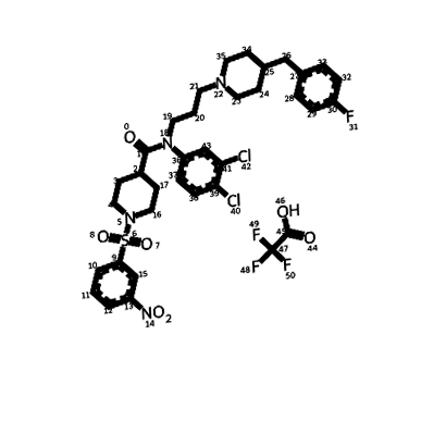 O=C(C1CCN(S(=O)(=O)c2cccc([N+](=O)[O-])c2)CC1)N(CCCN1CCC(Cc2ccc(F)cc2)CC1)c1ccc(Cl)c(Cl)c1.O=C(O)C(F)(F)F